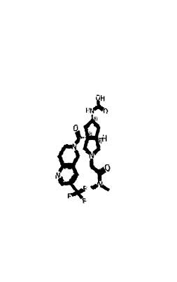 CN(C)C(=O)CN1C[C@@H]2C[C@@H](NC(=O)O)C[C@]2(C(=O)N2CCc3ncc(C(F)(F)F)cc3C2)C1